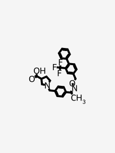 C/C(=N/OCc1ccc(-c2ccccc2)c(C(F)(F)F)c1)c1ccc(CN2CCC(C(=O)O)C2)cc1